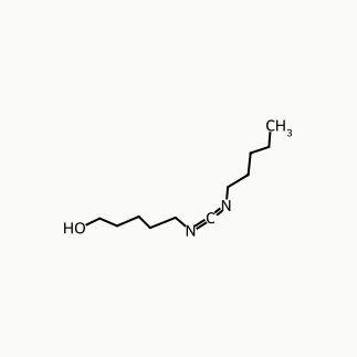 CCCCCN=C=NCCCCCO